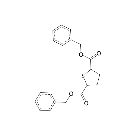 O=C(OCc1ccccc1)C1CCC(C(=O)OCc2ccccc2)S1